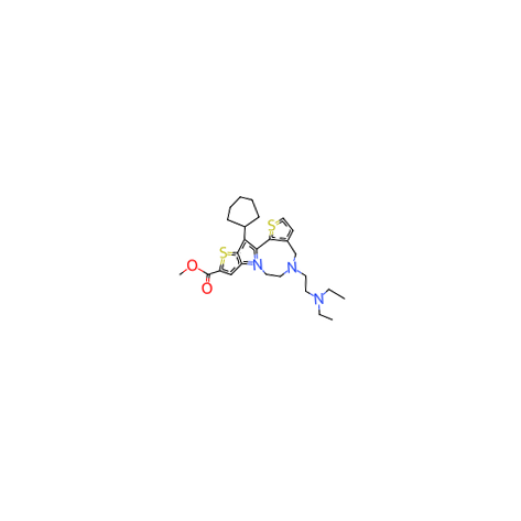 CCN(CC)CCN1CCn2c(c(C3CCCCC3)c3sc(C(=O)OC)cc32)-c2sccc2C1